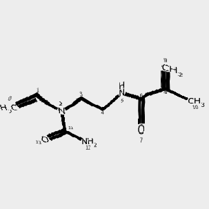 C=CN(CCNC(=O)C(=C)C)C(N)=O